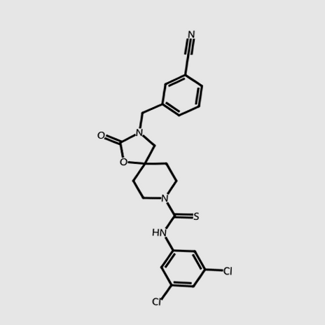 N#Cc1cccc(CN2CC3(CCN(C(=S)Nc4cc(Cl)cc(Cl)c4)CC3)OC2=O)c1